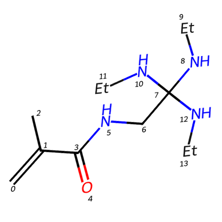 C=C(C)C(=O)NCC(NCC)(NCC)NCC